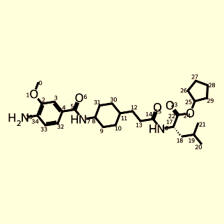 COc1cc(C(=O)NC2CCC(CCC(=O)N[C@@H](CC(C)C)C(=O)OC3CCCC3)CC2)ccc1N